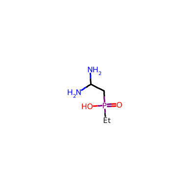 CCP(=O)(O)CC(N)N